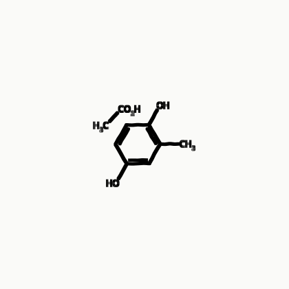 CC(=O)O.Cc1cc(O)ccc1O